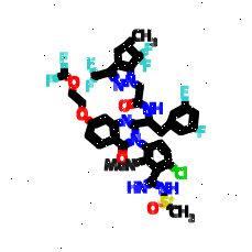 CNc1c(-n2c(C(Cc3cc(F)cc(F)c3)NC(=O)Cn3nc(C(F)F)c4c3C(F)(F)C(C)C4)nc3cc(OCCOC(F)F)ccc3c2=O)ccc(Cl)c1C(=N)N[S+](C)[O-]